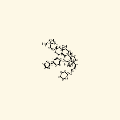 CC1(C)COC2(CCC3=C4[C@@H](CC[C@@]3(O)C2)[C@@H]2CC[C@@](O)(/C=C\COC3CCCCO3)[C@@]2(C)C[C@@H]4c2ccc(-c3nccs3)cc2)OC1